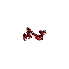 CCCCC(CC)Cn1c2ccc(C(=O)c3c(OCCOCCOCCOc4ccc5ccccc5c4C(=O)c4ccc5c(c4)c4cc(/C(=N\OC(C)=O)c6ccccc6C)ccc4n5CC(CC)CCCC)ccc4ccccc34)cc2c2cc(/C(=N/OC(C)=O)c3ccccc3C)ccc21